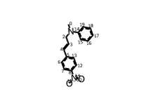 CN(C/C=C/c1ccc([N+](=O)[O-])cc1)c1ccccc1